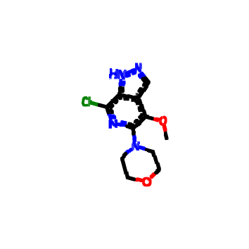 COc1c(N2CCOCC2)nc(Cl)c2[nH]ncc12